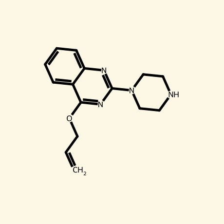 C=CCOc1nc(N2CCNCC2)nc2ccccc12